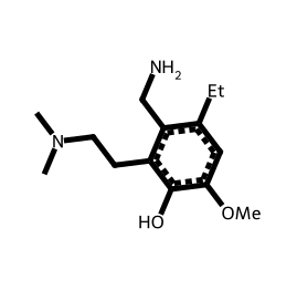 CCc1cc(OC)c(O)c(CCN(C)C)c1CN